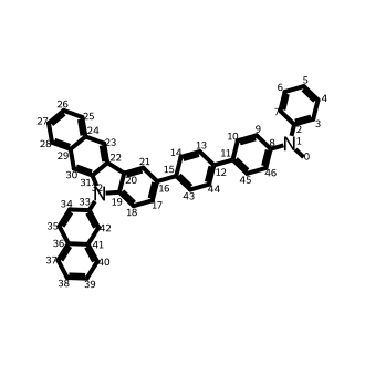 CN(c1ccccc1)c1ccc(-c2ccc(-c3ccc4c(c3)c3cc5ccccc5cc3n4-c3ccc4ccccc4c3)cc2)cc1